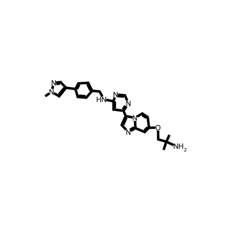 Cn1cc(-c2ccc(CNc3cc(-c4cnc5cc(OCC(C)(C)N)ccn45)ncn3)cc2)cn1